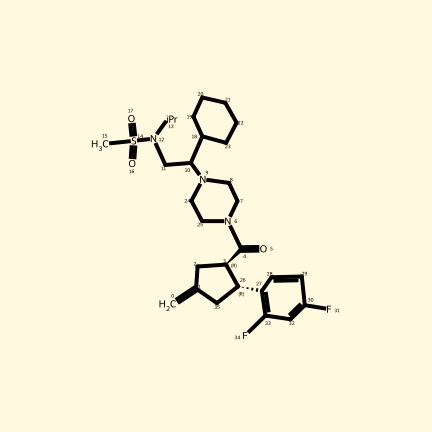 C=C1C[C@@H](C(=O)N2CCN(C(CN(C(C)C)S(C)(=O)=O)C3CCCCC3)CC2)[C@H](c2ccc(F)cc2F)C1